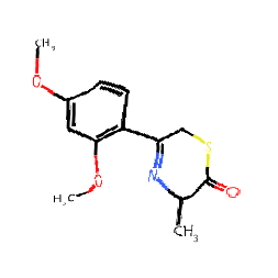 COc1ccc(C2=NC(C)C(=O)SC2)c(OC)c1